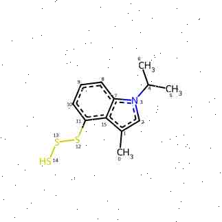 Cc1cn(C(C)C)c2cccc(SSS)c12